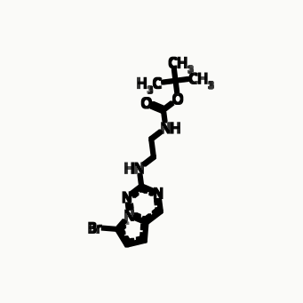 CC(C)(C)OC(=O)NCCNc1ncc2ccc(Br)n2n1